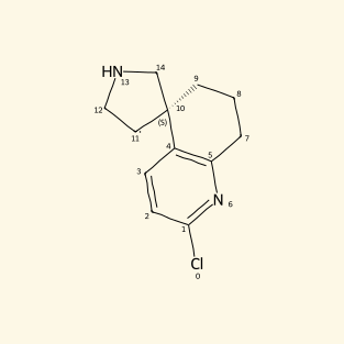 Clc1ccc2c(n1)CCC[C@@]21[CH]CNC1